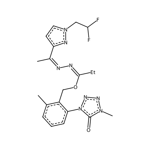 CC/C(=N/N=C(/C)c1ccn(CC(F)F)n1)OCc1c(C)cccc1-n1nnn(C)c1=O